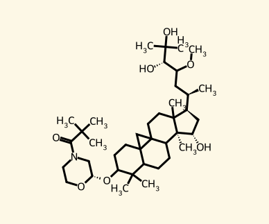 COC(C[C@@H](C)[C@H]1C[C@H](O)[C@@]2(C)C3CCC4C(C)(C)C(O[C@H]5CN(C(=O)C(C)(C)C)CCO5)CCC45CC35CCC12C)[C@H](O)C(C)(C)O